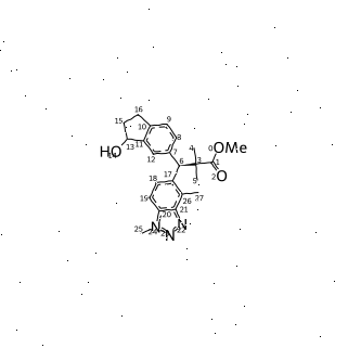 COC(=O)C(C)(C)[C@H](c1ccc2c(c1)C(O)CC2)c1ccc2c(nnn2C)c1C